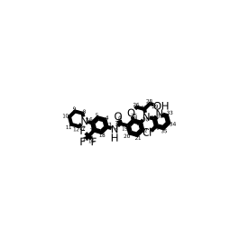 O=C(Nc1ccc(N2CCCCC2)c(C(F)(F)F)c1)c1cccc2c1OCC(CO)N2c1ncccc1Cl